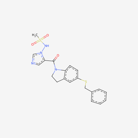 CS(=O)(=O)Nn1cncc1C(=O)N1CCc2cc(SCc3ccccc3)ccc21